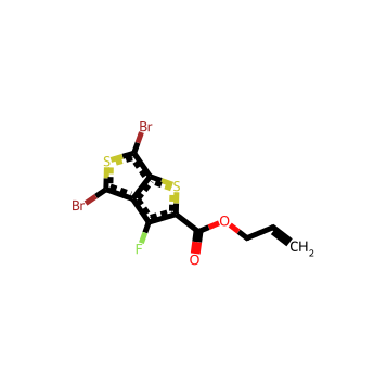 C=CCOC(=O)c1sc2c(Br)sc(Br)c2c1F